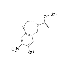 C=C(OC(C)(C)C)N1CCSc2cc([N+](=O)[O-])c(O)cc2C1